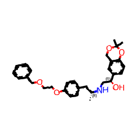 C[C@H](Cc1ccc(OCCOCc2ccccc2)cc1)NC[C@H](O)c1ccc2c(c1)COC(C)(C)O2